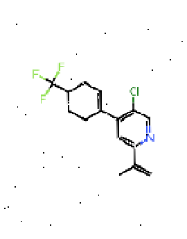 C=C(C)c1cc(C2=CCC(C(F)(F)F)CC2)c(Cl)cn1